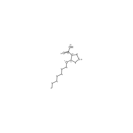 CCCCCCCOC1CSCC1C(=O)O